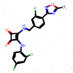 O=c1c(NCc2ccc(-c3noc(C(F)(F)F)n3)c(F)c2)c(Nc2ccc(F)cc2Cl)c1=O